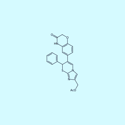 CC(=O)OCc1cn2c(n1)SC(c1ccccc1)C(c1ccc3c(c1)NC(=O)CO3)=C2